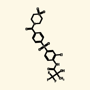 CC(O)(C(=O)Nc1ccc(S(=O)(=O)c2ccc(C(=O)N3CCS(=O)(=O)CC3)cc2)cc1Cl)C(F)(F)F